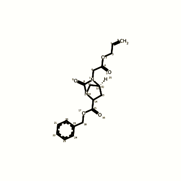 C=CCOC(=O)CN1C(=O)N2C[C@@H]1CC2C(=O)OCc1ccccc1